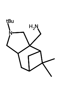 CC1(C)C2CC3CN(C(C)(C)C)CC3(CN)C1C2